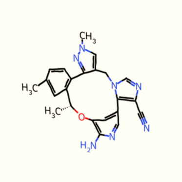 Cc1ccc2c(c1)[C@@H](C)Oc1cc(cnc1N)-c1c(C#N)ncn1Cc1cn(C)nc1-2